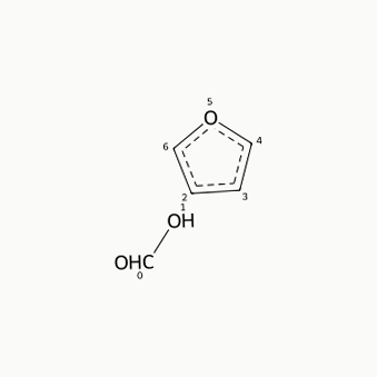 O=CO.c1ccoc1